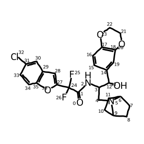 O=C(NC(CN1C2CCC1CC2)C(O)c1ccc2c(c1)OCCO2)C(F)(F)c1cc2cc(Cl)ccc2o1